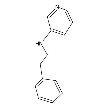 c1ccc(CCNc2cccnc2)cc1